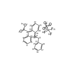 COC(=O)c1c2ccccc2[n+](Cc2ccccc2)c2ccccc12.O=S(=O)([O-])C(F)(F)F